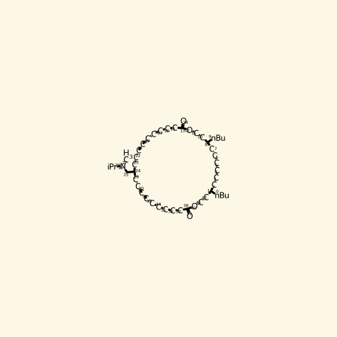 CCCCC1CCCCCCC(CCCC)CCOC(=O)CCCCCCCCCC(CN(C)C(C)C)CCCCCCCCCC(=O)OCC1